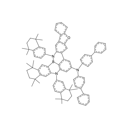 CC1(C)CCC(C)(C)c2cc(N3B4c5cc6c(cc5N(c5ccc7c(c5)C(C)(C)CCC7(C)C)c5cc(N(c7ccc(-c8ccccc8)cc7)c7ccc(-c8ccccc8)cc7)cc(c54)-c4cc5oc7ccccc7c5cc43)C(C)(C)CCC6(C)C)ccc21